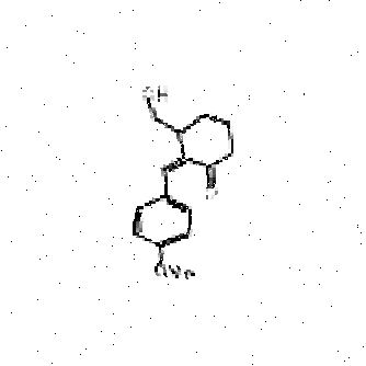 COc1ccc(C=C2C(=O)CCCC2CO)cc1